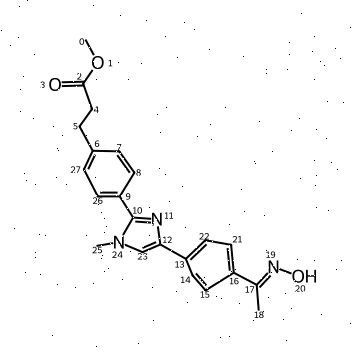 COC(=O)CCc1ccc(-c2nc(-c3ccc(C(C)=NO)cc3)cn2C)cc1